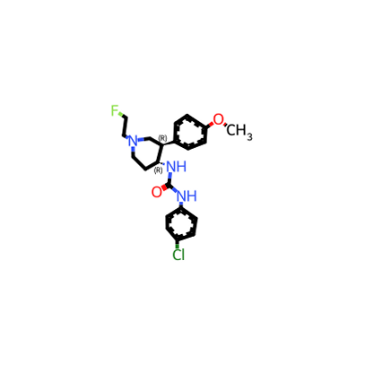 COc1ccc([C@@H]2CN(CCF)CC[C@H]2NC(=O)Nc2ccc(Cl)cc2)cc1